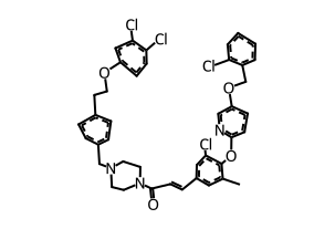 Cc1cc(/C=C/C(=O)N2CCN(Cc3ccc(CCOc4ccc(Cl)c(Cl)c4)cc3)CC2)cc(Cl)c1Oc1ccc(OCc2ccccc2Cl)cn1